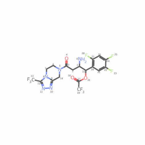 NC(CC(=O)N1CCn2c(nnc2C(F)(F)F)C1)C(OC(=O)C(F)(F)F)c1cc(F)c(F)cc1F